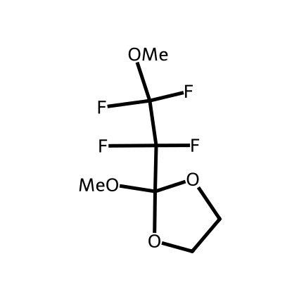 COC(F)(F)C(F)(F)C1(OC)OCCO1